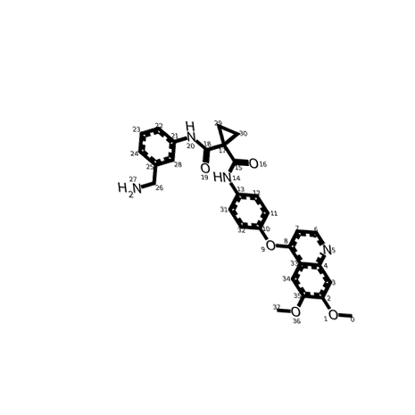 COc1cc2nccc(Oc3ccc(NC(=O)C4(C(=O)Nc5cccc(CN)c5)CC4)cc3)c2cc1OC